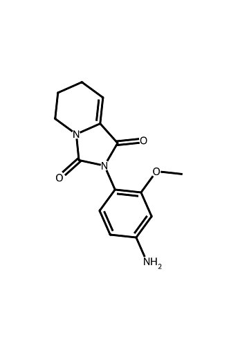 COc1cc(N)ccc1N1C(=O)C2=CCCCN2C1=O